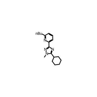 CCCCc1cccc(-c2nc(C3CCCCC3)n(C)n2)n1